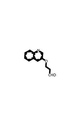 O=[C]CCOc1cnc2ccccc2c1